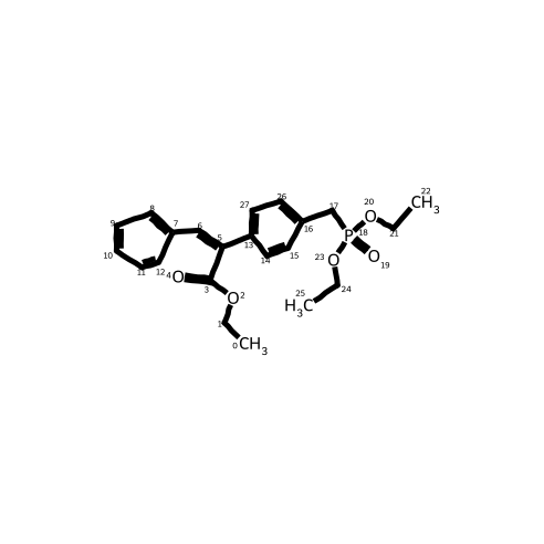 CCOC(=O)C(=Cc1ccccc1)c1ccc(CP(=O)(OCC)OCC)cc1